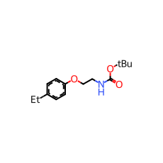 CCc1ccc(OCCNC(=O)OC(C)(C)C)cc1